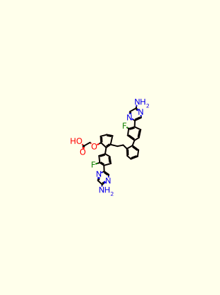 Nc1cnc(-c2ccc(-c3ccccc3CCc3cccc(OCC(=O)O)c3-c3ccc(-c4cnc(N)cn4)c(F)c3)cc2F)cn1